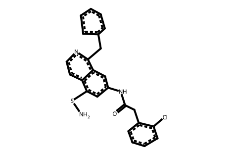 NSc1cc(NC(=O)Cc2ccccc2Cl)cc2c(Cc3ccccc3)nccc12